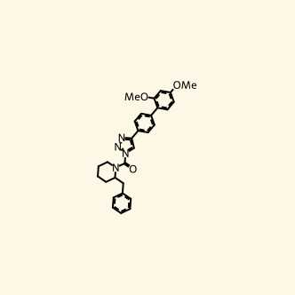 COc1ccc(-c2ccc(-c3cn(C(=O)N4CCCCC4Cc4ccccc4)nn3)cc2)c(OC)c1